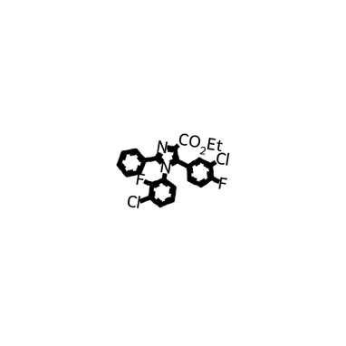 CCOC(=O)c1nc(-c2ccccc2)n(-c2cccc(Cl)c2F)c1-c1ccc(F)c(Cl)c1